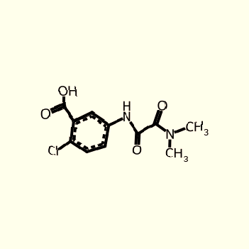 CN(C)C(=O)C(=O)Nc1ccc(Cl)c(C(=O)O)c1